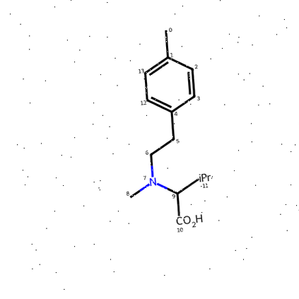 Cc1ccc(CCN(C)C(C(=O)O)C(C)C)cc1